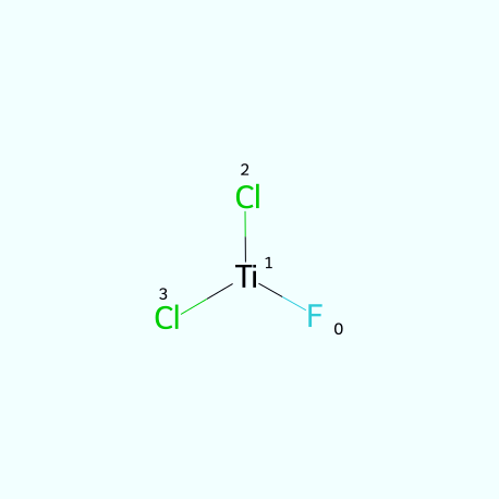 [F][Ti]([Cl])[Cl]